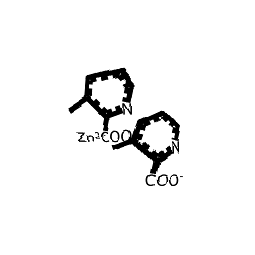 Cc1cccnc1C(=O)[O-].Cc1cccnc1C(=O)[O-].[Zn+2]